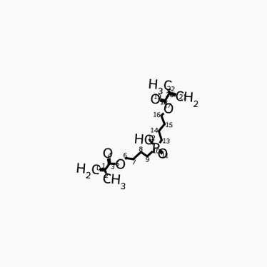 C=C(C)C(=O)OCCCCP(=O)(O)CCCCOC(=O)C(=C)C